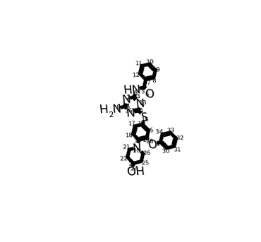 Nc1nc(NC(=O)c2ccccc2)nc(Sc2ccc(N3CCC(O)CC3)c(Oc3ccccc3)c2)n1